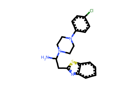 NC(Cc1nc2ccccc2s1)N1CCN(c2ccc(Cl)cc2)CC1